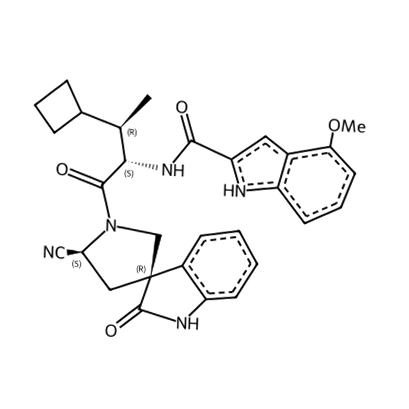 COc1cccc2[nH]c(C(=O)N[C@H](C(=O)N3C[C@]4(C[C@H]3C#N)C(=O)Nc3ccccc34)[C@H](C)C3CCC3)cc12